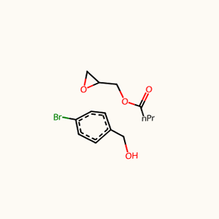 CCCC(=O)OCC1CO1.OCc1ccc(Br)cc1